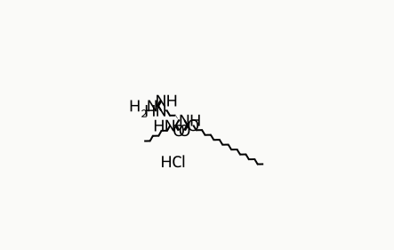 CCCCCCCCCCCCCCCCOC(=O)N[C@@H](CCCNC(=N)N)C(=O)NCCCCCC.Cl